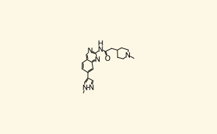 CN1CCC(CC(=O)Nc2ncc3ccc(-c4cnn(C)c4)cc3n2)CC1